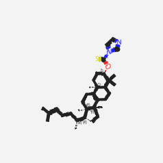 CC(C)=CCC[C@@H](C)[C@H]1CC[C@@]2(C)C3=C(CC[C@]12C)[C@@]1(C)CC[C@H](OC(=S)n2ccnc2)C(C)(C)C1CC3